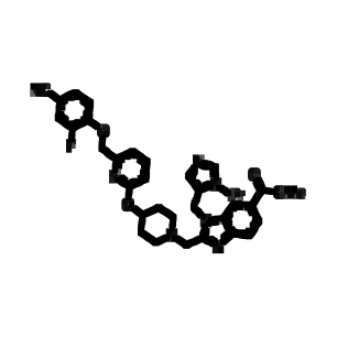 COC(=O)c1ccc2nc(CN3CCC(Oc4cccc(COc5ccc(C#N)cc5F)n4)CC3)n(Cc3cncn3C(C)C)c2c1